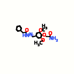 COc1cc(/C=N/NC(=O)Cc2ccccc2)cc(OC)c1OCC(N)=O